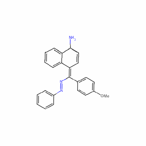 COc1ccc(C(N=Nc2ccccc2)=C2C=CC(N)c3ccccc32)cc1